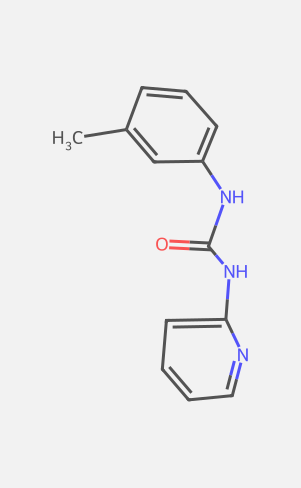 Cc1cccc(NC(=O)Nc2ccccn2)c1